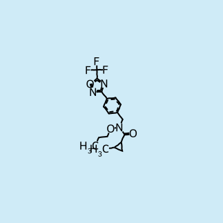 CCCON(Cc1ccc(-c2noc(C(F)(F)F)n2)cc1)C(=O)C1CC1C